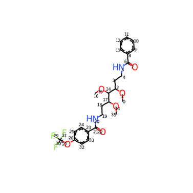 COC(CCNC(=O)c1ccccc1)C(OC)C(CCNC(=O)c1ccc(OC(F)(F)F)cc1)OC